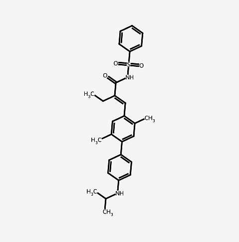 CC/C(=C\c1cc(C)c(-c2ccc(NC(C)C)cc2)cc1C)C(=O)NS(=O)(=O)c1ccccc1